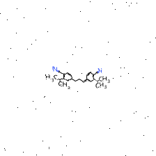 CC(C)c1cc(CCCc2ccc(C#N)c(C(C)C)c2)ccc1C#N